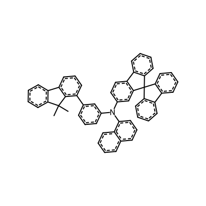 CC1(C)c2ccccc2-c2cccc(-c3cccc(N(c4ccc5c(c4)C4(c6ccccc6-c6ccccc64)c4ccccc4-5)c4cccc5ccccc45)c3)c21